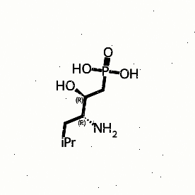 CC(C)C[C@@H](N)[C@@H](O)CP(=O)(O)O